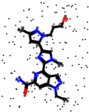 CCn1ncc2c(-c3nc(-c4cc(C)nn4CCCO)cn3C)nc(C(N)=O)cc21